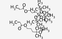 C=CC(=O)OCCCC(C)(C)O[SiH3].C=CC(=O)OCCC[Si](O[Si](C)(C)C)(O[Si](C)(C)C)O[Si](C)(C)C